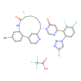 C[C@@H]1CCC[C@H](n2cnc(-c3c(-n4cc(Cl)nn4)ccc(Cl)c3F)cc2=O)c2cc(ccn2)-c2ccc(C#N)cc2NC1=O.O=C(O)C(F)(F)F